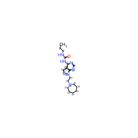 CCCNC(=O)Nc1ncnc2c1cnn2CCN1CCCCCC1